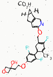 O=C(O)[C@H]1[C@@H]2Cc3cc(OCc4cc(-c5c(F)cc(OCCC6(O)COC6)cc5F)c(C(F)(F)F)cc4F)ncc3[C@@H]21